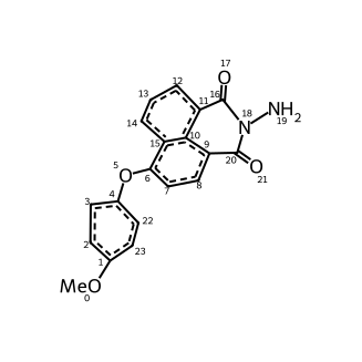 COc1ccc(Oc2ccc3c4c(cccc24)C(=O)N(N)C3=O)cc1